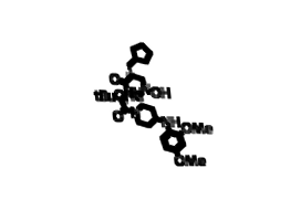 COc1ccc(NC2CCN(C(=O)[C@@H](NC(=O)[C@H](CC3CCCC3)CN(O)C=O)C(C)(C)C)CC2)c(OC)c1